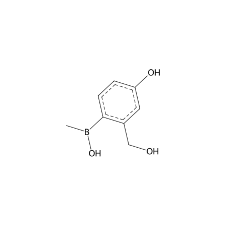 CB(O)c1ccc(O)cc1CO